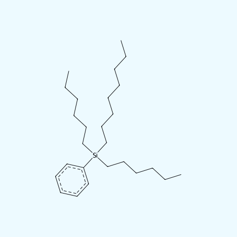 CCCCCCCC[Si](CCCCCC)(CCCCCC)c1ccccc1